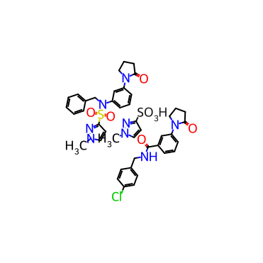 Cn1ccc(S(=O)(=O)N(Cc2ccccc2)c2cccc(N3CCCC3=O)c2)n1.Cn1ccc(S(=O)(=O)O)n1.O=C(NCc1ccc(Cl)cc1)c1cccc(N2CCCC2=O)c1